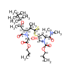 C=CCOC(=O)[C@@H](O)N1C(=O)[C@H]([C@@H](C)O[Si](C)(C)C(C)(C)C)[C@H]1[C@@H](C)C(=S)S[C@H]1C[C@@H](C(=O)N(C)C)N(C(=O)OCC=C)C1